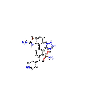 Nc1nc2c(-c3ccc(CC4CCNCC4)c(S(N)(=O)=O)c3-c3nn[nH]n3)cccc2s1